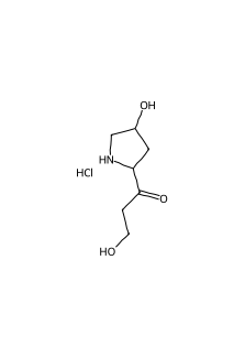 Cl.O=C(CCO)C1CC(O)CN1